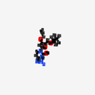 C#CCOC1C[C@H](n2ccc(N)nc2=O)O[C@@H]1CO[Si](C)(C)C(C)(C)C